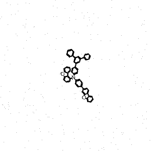 c1ccc(-c2cc(-c3ccccc3)cc(-c3ccc(N(c4ccc(-c5ccc6c(c5)oc5ccccc56)cc4)c4cccc5oc6ccccc6c45)cc3)c2)cc1